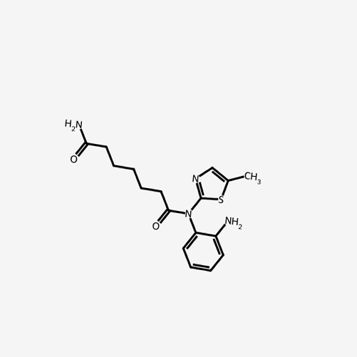 Cc1cnc(N(C(=O)CCCCCC(N)=O)c2ccccc2N)s1